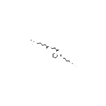 C[C@H](CSC(=O)CCCCON(O)O)C(=O)N1CCC[C@H]1C(=O)OCCCON(O)O